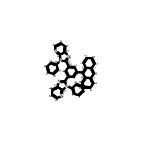 c1ccc(-n2c(-c3cc(-c4c5ccccc5cc5ccccc45)cc(-c4nc5cccnc5n4-c4ccccc4)c3)nc3cccnc32)cc1